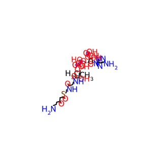 CC(C)(COP(=O)(O)OP(=O)(O)OC[C@H]1O[C@@H](n2cnc3c(N)ncnc32)[C@H](O)[C@@H]1OP(=O)(O)O)C(O)C(=O)NCCC(=O)NCCSC(=O)CC(=O)CCCN